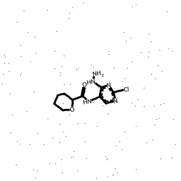 NNc1nc(Cl)ncc1NC(=O)C1CCCCO1